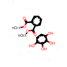 CCCCCCCCOC(=O)c1ccccc1C(=O)OCCCCCCCC.Oc1ccc(O)c(O)c1O